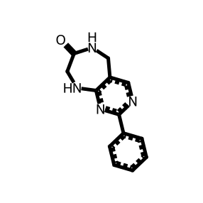 O=C1CNc2nc(-c3ccccc3)ncc2CN1